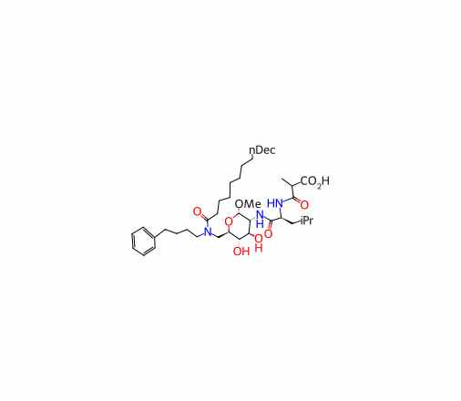 CCCCCCCCCCCCCCCCCC(=O)N(CCCCc1ccccc1)C[C@H]1O[C@H](OC)[C@H](NC(=O)[C@H](CC(C)C)NC(=O)C(C)C(=O)O)[C@@H](O)[C@@H]1O